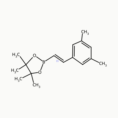 Cc1cc(C)cc(/C=C/B2OC(C)(C)C(C)(C)O2)c1